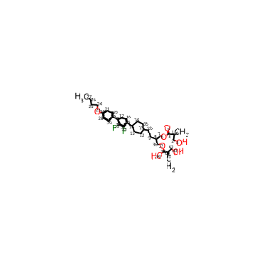 C=C(CO)C(=O)OCC(CCC1CCC(c2ccc(-c3ccc(OCCCC)cc3)c(F)c2F)CC1)COC(O)C(=C)CO